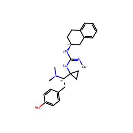 CN(C)[C@@H](Cc1ccc(O)cc1)C1(NC(=NC#N)N[C@H]2CCc3ccccc3C2)CC1